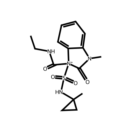 CCNC(=O)[N+]1(S(=O)(=O)NC2(C)CC2)C(=O)N(C)c2ccccc21